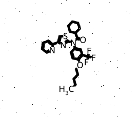 CCCCCOc1ccc(N(C(=O)C2CCCCC2)c2nc(-c3ccccn3)cs2)cc1C(F)(F)F